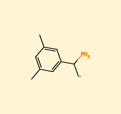 [CH2]C(P)c1cc(C)cc(C)c1